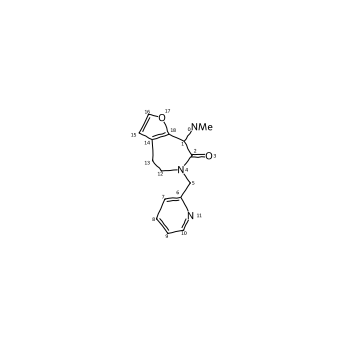 CNC1C(=O)N(Cc2ccccn2)CCc2ccoc21